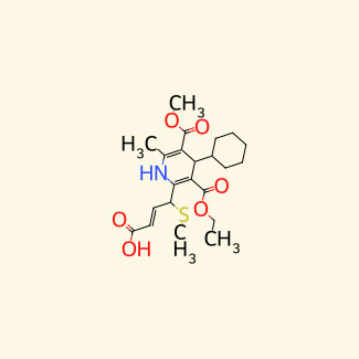 CCOC(=O)C1=C(C(C=CC(=O)O)SC)NC(C)=C(C(=O)OC)C1C1CCCCC1